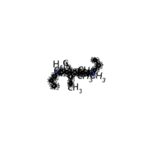 CCCCCCC(c1ccc(-c2ccc(C)cc2)cc1)(c1ccc(-c2ccc(N(C)c3ccc(-c4cccc(-c5ccccc5)c4)cc3)cc2)cc1)c1ccc(C(CC)(CC)c2ccc(-c3ccc(N(C)c4ccc(-c5cccc(-c6ccccc6)c5)cc4)cc3)cc2)cc1